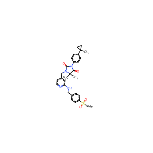 CNS(=O)(=O)c1ccc(CNc2cc(CN3C(=O)N(c4ccc(C5(C(F)(F)F)CC5)cc4)C(=O)C3(C)C)ccn2)cc1